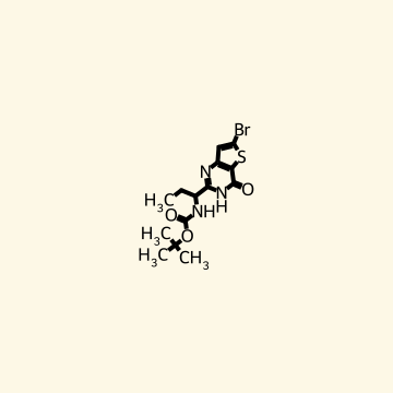 CCC(NC(=O)OC(C)(C)C)c1nc2cc(Br)sc2c(=O)[nH]1